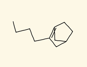 CCCCC1=C2CCC(C1)C2